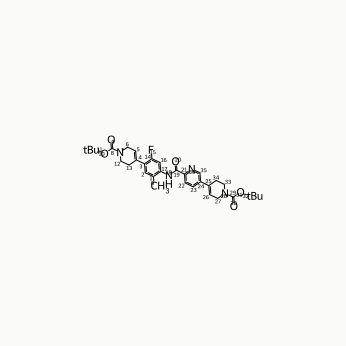 Cc1cc(C2=CCN(C(=O)OC(C)(C)C)CC2)c(F)cc1NC(=O)c1ccc(C2=CCN(C(=O)OC(C)(C)C)CC2)cn1